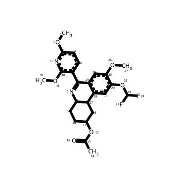 COc1ccc(C2=NC3CCC(OC(C)=O)CC3c3cc(OC(F)F)c(OC)cc32)c(OC)n1